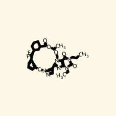 CCCn1c(=O)c2c(nc3n2COC(C)OC(=O)C2CCCC(C2)C(F)(F)c2cccc(c2)Cn2cc-3cn2)n(CC)c1=O